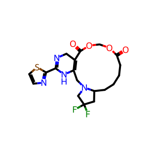 O=C1CCCCC2CC(F)(F)CN2CC2=C(CN=C(c3nccs3)N2)C(=O)OCO1